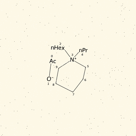 CC(=O)[O-].CCCCCC[N+]1(CCC)CCCCC1